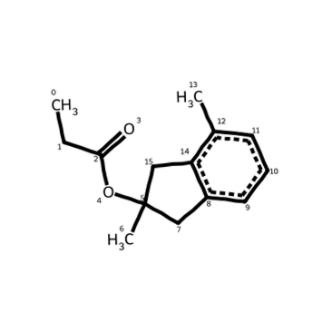 CCC(=O)OC1(C)Cc2cccc(C)c2C1